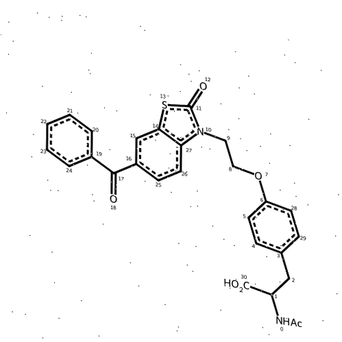 CC(=O)NC(Cc1ccc(OCCn2c(=O)sc3cc(C(=O)c4ccccc4)ccc32)cc1)C(=O)O